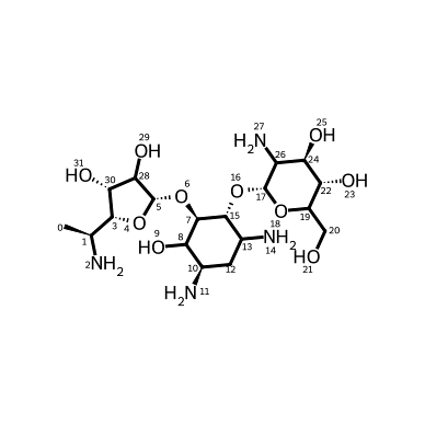 C[C@H](N)[C@H]1O[C@@H](O[C@@H]2C(O)[C@H](N)CC(N)[C@H]2O[C@H]2OC(CO)[C@@H](O)[C@H](O)C2N)C(O)[C@H]1O